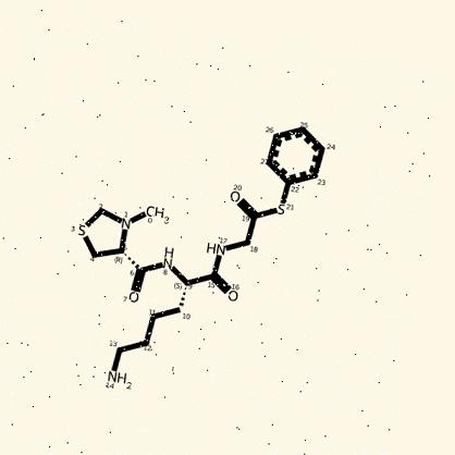 CN1CSC[C@H]1C(=O)N[C@@H](CCCCN)C(=O)NCC(=O)Sc1ccccc1